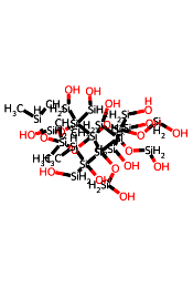 C[SiH](C)O[Si](C)(C)O[Si](O[Si](O[SiH2]O)([SiH2]O)[SiH2]O)([Si](O[SiH2]O)([SiH2]O)[SiH2]O)[Si](O[SiH2]O)([Si](O[SiH2]O)([SiH2]O)[SiH2]O)[Si](O)([SiH2]O)[SiH](C)C